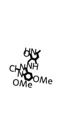 COc1cc2nc(Cl)nc(NCc3c(C)cc(C)[nH]c3=O)c2cc1OC